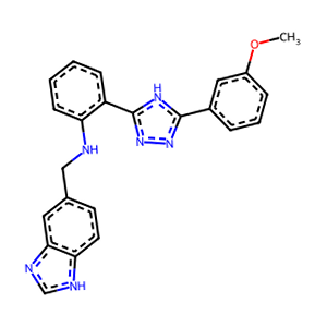 COc1cccc(-c2nnc(-c3ccccc3NCc3ccc4[nH]cnc4c3)[nH]2)c1